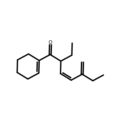 C=C(/C=C\C(CC)C(=O)C1=CCCCC1)CC